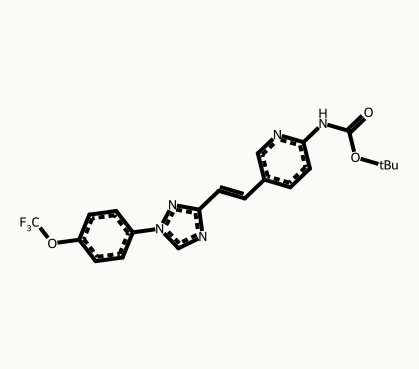 CC(C)(C)OC(=O)Nc1ccc(C=Cc2ncn(-c3ccc(OC(F)(F)F)cc3)n2)cn1